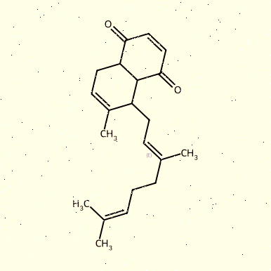 CC(C)=CCC/C(C)=C/CC1C(C)=CCC2C(=O)C=CC(=O)C21